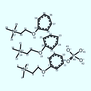 C[N+](C)(C)CCOc1ccccc1.C[N+](C)(C)CCOc1ccccc1.C[N+](C)(C)CCOc1ccccc1.O=P([O-])([O-])[O-]